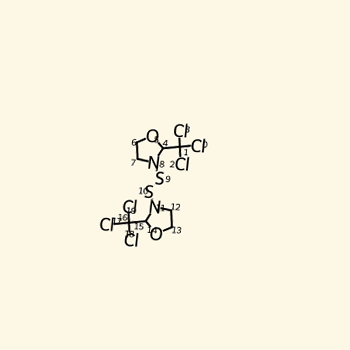 ClC(Cl)(Cl)C1OCCN1SSN1CCOC1C(Cl)(Cl)Cl